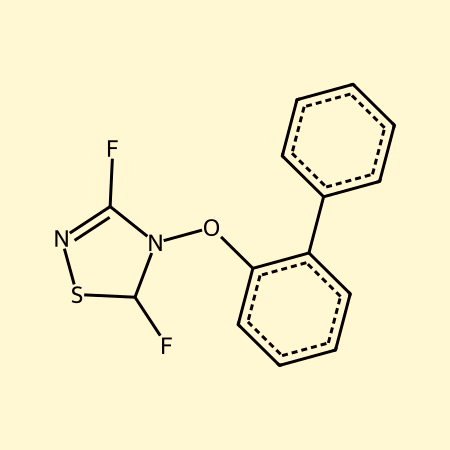 FC1=NSC(F)N1Oc1ccccc1-c1ccccc1